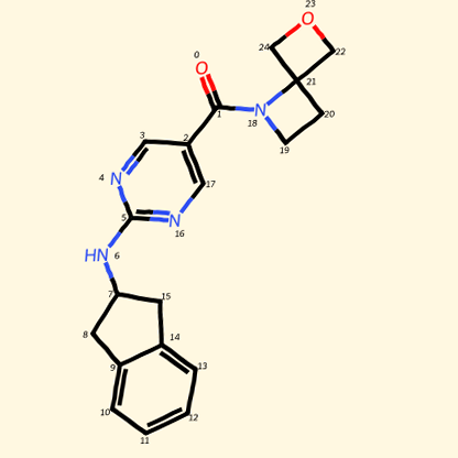 O=C(c1cnc(NC2Cc3ccccc3C2)nc1)N1CCC12COC2